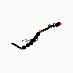 CC#CC#CC#CC#COc1ccc(-c2ccc(-c3ccc4c(c3)C(CCCCCCCC)(CCCCCCCC)c3cc(-c5ccc(-c6ccc(OCCCCCCCCOC(=O)/C=C/C(=O)Oc7ccc8cc(C)ccc8c7)cc6)cc5)ccc3-4)cc2)cc1